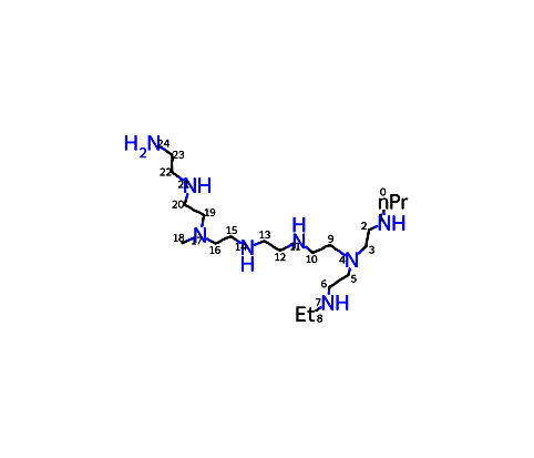 CCCNCCN(CCNCC)CCNCCNCCN(C)CCNCCN